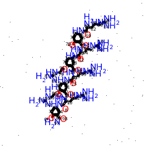 COc1ccc(NC(=O)[C@@H](CCCNC(=N)N)NC(=O)c2cc(NC(=O)[C@@H](CCCNC(=N)N)NC(=O)c3cc(NC(=O)[C@@H](CCCNC(=N)N)NC(=O)c4cc(NC(=O)[C@H](N)CCCNC(=N)N)ccc4OC)ccc3OCCNC(=N)N)ccc2OCCNC(=N)N)cc1C(N)=O